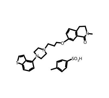 CN1CCc2ccc(OCCCN3CCN(c4cccc5sccc45)CC3)cc2C1=O.Cc1ccc(S(=O)(=O)O)cc1